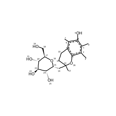 Cc1c(C)c2c(c(C)c1O)CCC(C)(C[C@H]1O[C@H](CO)[C@@H](O)[C@H](O)[C@H]1O)O2